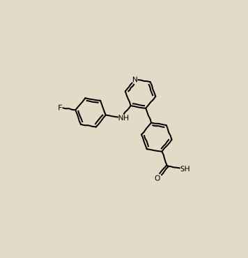 O=C(S)c1ccc(-c2ccncc2Nc2ccc(F)cc2)cc1